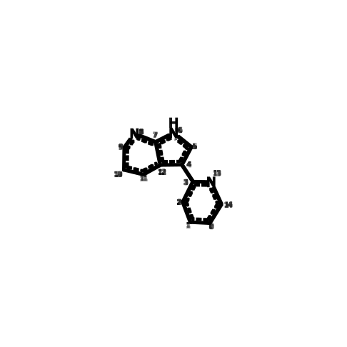 c1ccc(-c2c[nH]c3ncccc23)nc1